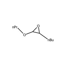 CCCCC1OC1OCCC